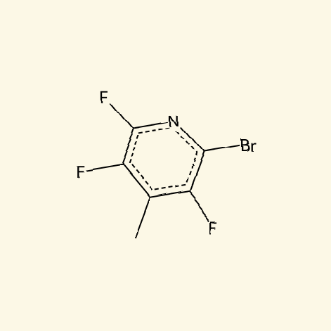 Cc1c(F)c(F)nc(Br)c1F